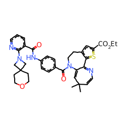 CCOC(=O)c1cc2c(s1)C1=NC=CC(C)(C)C=C1N(C(=O)c1ccc(NC(=O)c3cccnc3N3CC4(CCOCC4)C3)cc1)CC2